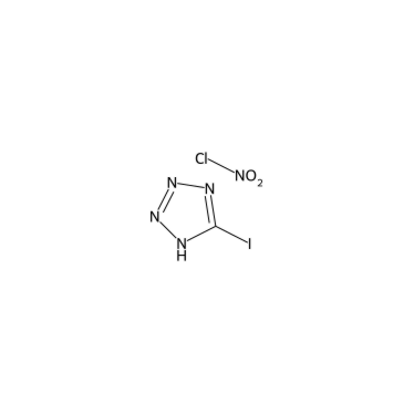 Ic1nnn[nH]1.O=[N+]([O-])Cl